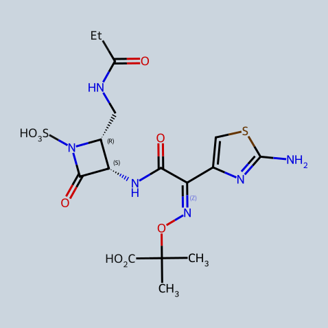 CCC(=O)NC[C@@H]1[C@H](NC(=O)/C(=N\OC(C)(C)C(=O)O)c2csc(N)n2)C(=O)N1S(=O)(=O)O